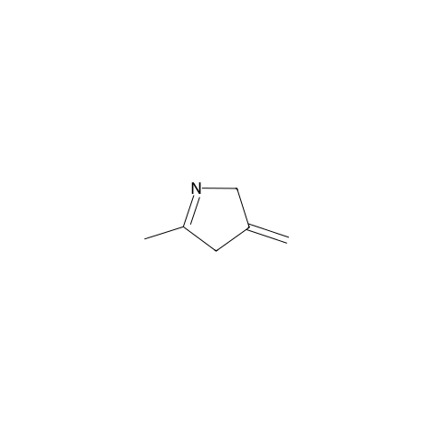 C=C1CN=C(C)C1